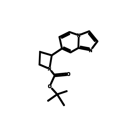 CC(C)(C)OC(=O)N1CCC1c1ccn2ccnc2c1